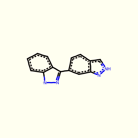 c1ccc2c(c1)[N]N=C2c1ccc2c[nH]nc2c1